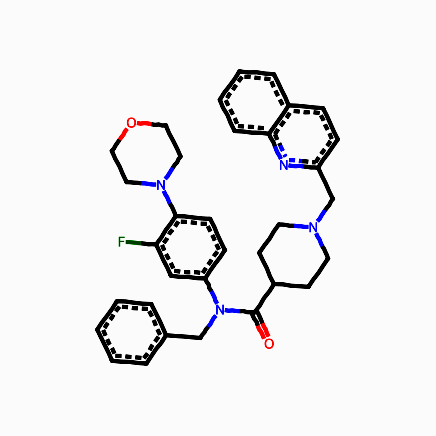 O=C(C1CCN(Cc2ccc3ccccc3n2)CC1)N(Cc1ccccc1)c1ccc(N2CCOCC2)c(F)c1